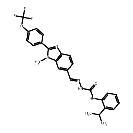 CC(C)c1ccccc1NC(=O)N/N=C/c1ccc2nc(-c3ccc(OC(F)(F)F)cc3)n(C)c2c1